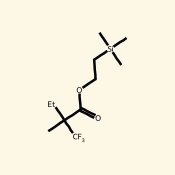 CCC(C)(C(=O)OCC[Si](C)(C)C)C(F)(F)F